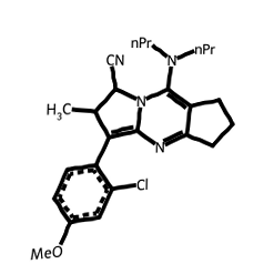 CCCN(CCC)C1=C2CCCC2=NC2=C(c3ccc(OC)cc3Cl)C(C)C(C#N)N21